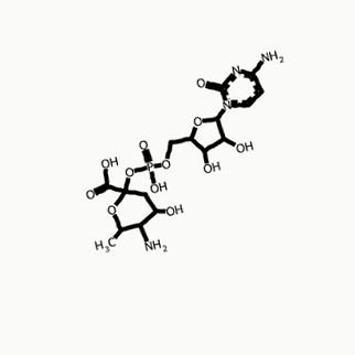 CC1OC(OP(=O)(O)OCC2OC(n3ccc(N)nc3=O)C(O)C2O)(C(=O)O)CC(O)C1N